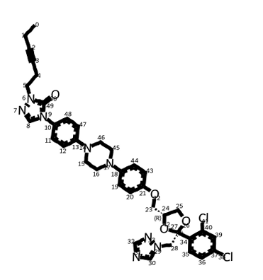 CCC#CCCn1ncn(-c2ccc(N3CCN(c4ccc(OC[C@@H]5CO[C@@](Cn6cncn6)(c6ccc(Cl)cc6Cl)O5)cc4)CC3)cc2)c1=O